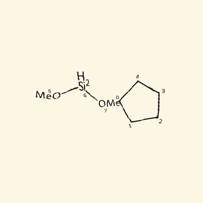 C1CCCC1.CO[SiH2]OC